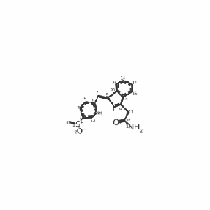 C[S+]([O-])c1ccc(C=C2C=C(CC(N)=O)c3ccccc32)cc1